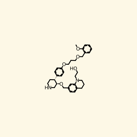 COc1ccccc1COCCCOc1ccc([C@H]2CCNC[C@@H]2OCc2ccc3c(c2)N(CCO)CCC3)cc1